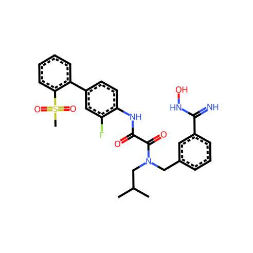 CC(C)CN(Cc1cccc(C(=N)NO)c1)C(=O)C(=O)Nc1ccc(-c2ccccc2S(C)(=O)=O)cc1F